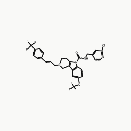 O=C(NCc1ccnc(Cl)c1)n1c2c(c3cc(OC(F)(F)F)ccc31)CN(C/C=C/c1ccc(C(F)(F)F)cc1)CC2